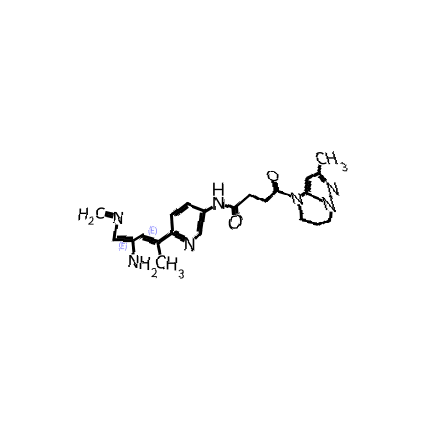 C=N/C=C(N)\C=C(/C)c1ccc(NC(=O)CCC(=O)N2CCCn3nc(C)cc32)cn1